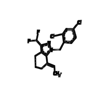 [CH2]/C=C1\CCCc2c(C(F)F)nn(Cc3ccc(Cl)cc3Cl)c21